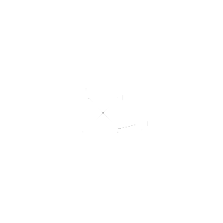 CC(C)(Cl)CS